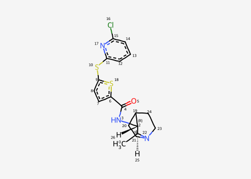 C[C@H]1[C@H](NC(=O)c2ccc(Sc3cccc(Cl)n3)s2)C2CCN1CC2